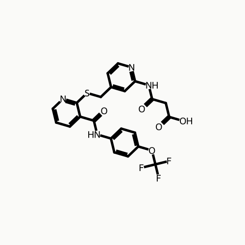 O=C(O)CC(=O)Nc1cc(CSc2ncccc2C(=O)Nc2ccc(OC(F)(F)F)cc2)ccn1